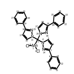 [Cl][Mn]([Cl])[C](n1ccc(-c2ccccc2)n1)(n1ccc(-c2ccccc2)n1)n1ccc(-c2ccccc2)n1